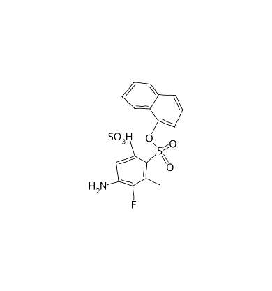 Cc1c(F)c(N)cc(S(=O)(=O)O)c1S(=O)(=O)Oc1cccc2ccccc12